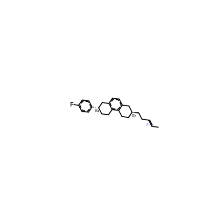 C/C=C/CC[C@H]1CCc2c(ccc3c2CC[C@H](c2ccc(F)cc2)C3)C1